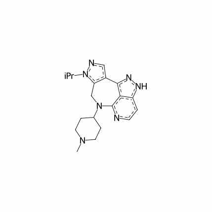 CC(C)n1ncc2c1CN(C1CCN(C)CC1)c1nccc3[nH]nc-2c13